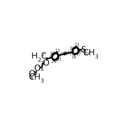 C=C(OCCOCOC)c1ccc(C#Cc2ccc(SC)cc2)cc1